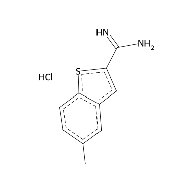 Cc1ccc2sc(C(=N)N)cc2c1.Cl